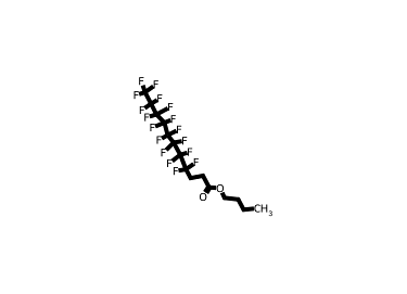 CCCCOC(=O)CCC(F)(F)C(F)(F)C(F)(F)C(F)(F)C(F)(F)C(F)(F)C(F)(F)C(F)(F)F